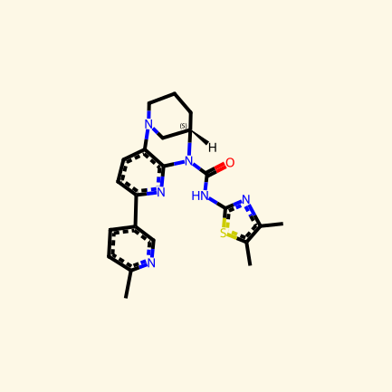 Cc1ccc(-c2ccc3c(n2)N(C(=O)Nc2nc(C)c(C)s2)[C@H]2CCCN3C2)cn1